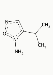 CC(C)c1cno[n+]1N